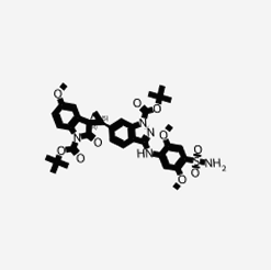 COc1ccc2c(c1)[C@]1(C[C@H]1c1ccc3c(Nc4cc(OC)c(S(N)(=O)=O)cc4OC)nn(C(=O)OC(C)(C)C)c3c1)C(=O)N2C(=O)OC(C)(C)C